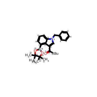 CC(C)(C)C(=O)c1cn(Cc2ccccc2)c2cccc(B3OC(C)(C)C(C)(C)O3)c12